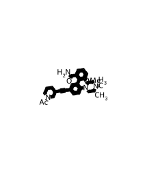 COc1cccc(C(N)=O)c1-c1cc(C#CC2CCCN(C(C)=O)C2)ccc1N1CCN(C)[C@@H](C)C1